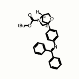 CC(C)(C)OC(=O)N1C[C@]2(c3ccc(N=C(c4ccccc4)c4ccccc4)cc3)C[C@H]1CO2